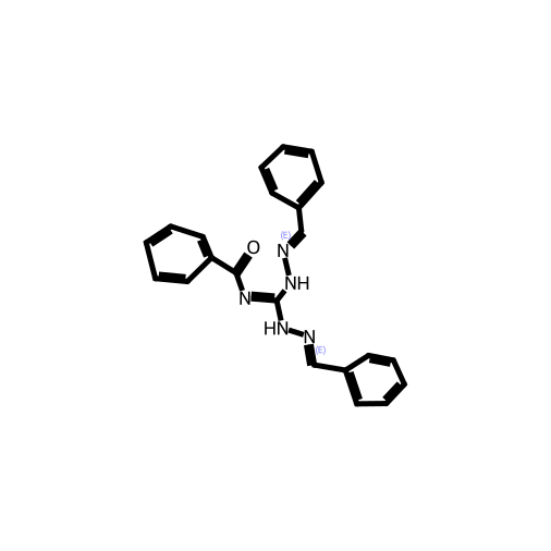 O=C(N=C(N/N=C/c1ccccc1)N/N=C/c1ccccc1)c1ccccc1